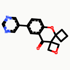 O=C1c2cc(-c3cncnc3)ccc2OC2(CCC2)C12COC2